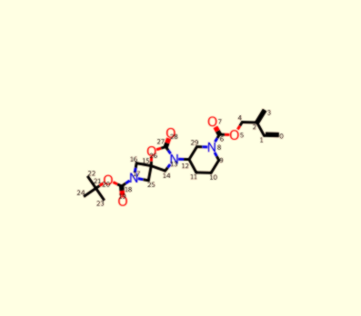 C=CC(=C)COC(=O)N1CCCC(N2CC3(CN(C(=O)OC(C)(C)C)C3)OC2=O)C1